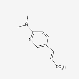 CN(C)c1ccc(C=CC(=O)O)cn1